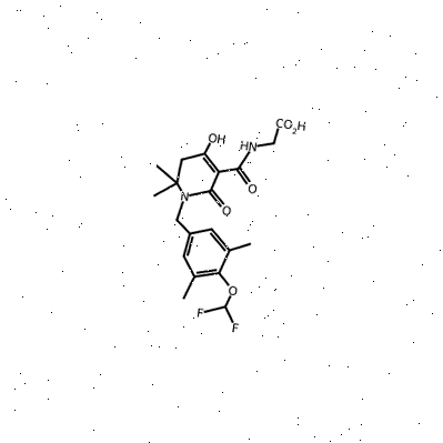 Cc1cc(CN2C(=O)C(C(=O)NCC(=O)O)=C(O)CC2(C)C)cc(C)c1OC(F)F